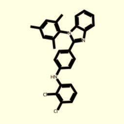 Cc1cc(C)c(-n2c(-c3ccc(Nc4cccc(Cl)c4Cl)cc3)nc3ccccc32)c(C)c1